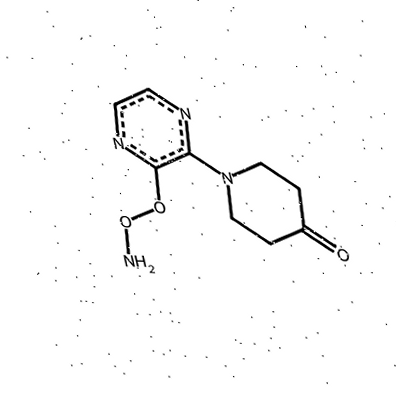 NOOc1nccnc1N1CCC(=O)CC1